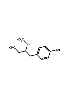 N#Cc1ccc(CC(CC=O)NC(=O)O)cc1